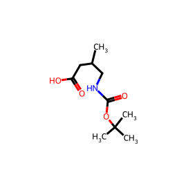 CC(CNC(=O)OC(C)(C)C)CC(=O)O